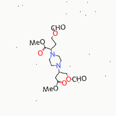 COC(=O)CC(COC=O)N1CCN(C(CCOC=O)C(=O)OC)CC1